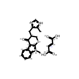 Cc1[nH]cnc1CC1CSc2c(c3ccccc3n2C)C1=O.O=C(O)/C=C/C(=O)O